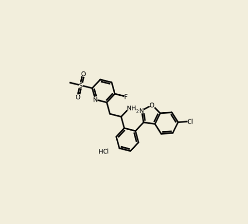 CS(=O)(=O)c1ccc(F)c(CC(N)c2ccccc2-c2noc3cc(Cl)ccc23)n1.Cl